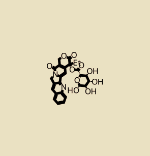 CCC1(OC(=O)[C@H]2O[C@@H](O)[C@H](O)[C@@H](O)[C@@H]2O)C(=O)OCc2c1cc1n(c2=O)Cc2cc3ccccc3nc2-1